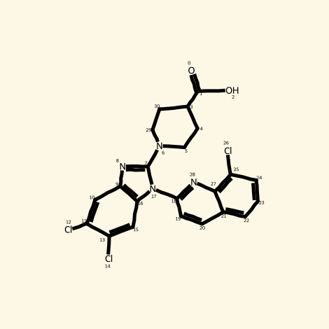 O=C(O)C1CCN(c2nc3cc(Cl)c(Cl)cc3n2-c2ccc3cccc(Cl)c3n2)CC1